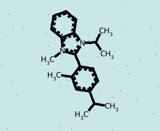 Cc1cc(C(C)C)ccc1-c1n(C(C)C)c2ccccc2[n+]1C